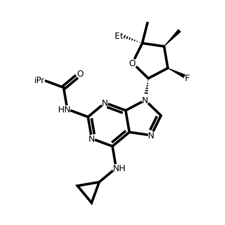 CC[C@@]1(C)O[C@@H](n2cnc3c(NC4CC4)nc(NC(=O)C(C)C)nc32)[C@H](F)[C@@H]1C